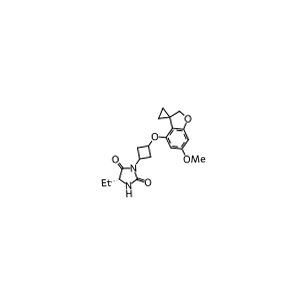 CC[C@H]1NC(=O)N(C2CC(Oc3cc(OC)cc4c3C3(CC3)CO4)C2)C1=O